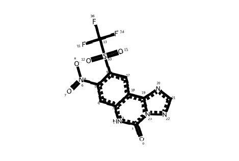 O=c1[nH]c2cc([N+](=O)[O-])c(S(=O)(=O)C(F)(F)F)cc2c2ncnn12